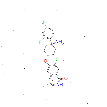 N[C@]1(c2ccc(F)cc2F)CC[C@@H](Oc2cc3cc[nH]c(=O)c3cc2Cl)CC1